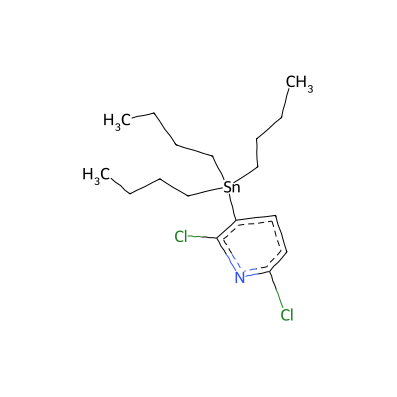 CCC[CH2][Sn]([CH2]CCC)([CH2]CCC)[c]1ccc(Cl)nc1Cl